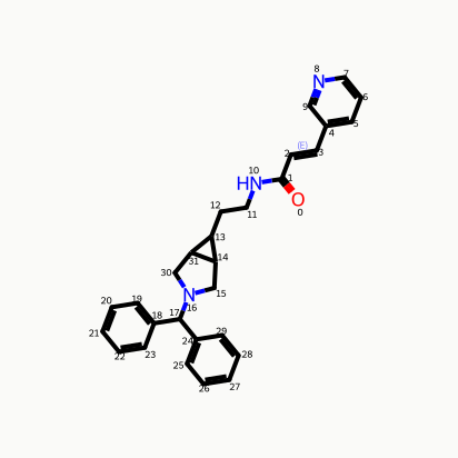 O=C(/C=C/c1cccnc1)NCCC1C2CN(C(c3ccccc3)c3ccccc3)CC12